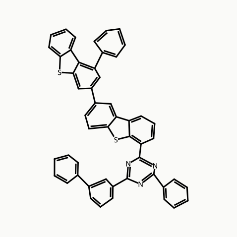 c1ccc(-c2cccc(-c3nc(-c4ccccc4)nc(-c4cccc5c4sc4ccc(-c6cc(-c7ccccc7)c7c(c6)sc6ccccc67)cc45)n3)c2)cc1